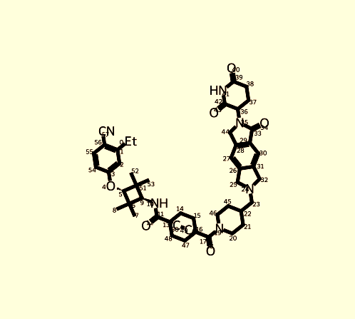 CCc1cc(O[C@H]2C(C)(C)[C@H](NC(=O)C34CCC(C(=O)N5CCC(CN6Cc7cc8c(cc7C6)C(=O)N(C6CCC(=O)NC6=O)C8)CC5)(CC3)CC4)C2(C)C)ccc1C#N